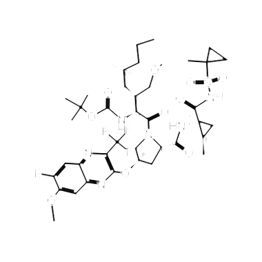 CCC[C@@H](C)C[C@@H](COC)[C@H](NC(=O)OC(C)(C)C)C(=O)N1C[C@H](Oc2nc3cc(OC)c(F)cc3nc2C(F)(F)F)C[C@H]1C(=O)N[C@]1(C(=O)NS(=O)(=O)C2(C)CC2)C[C@H]1C